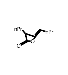 CCC/C=C1\OC(=O)C1CCC